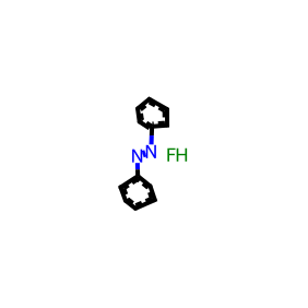 F.c1ccc(N=Nc2ccccc2)cc1